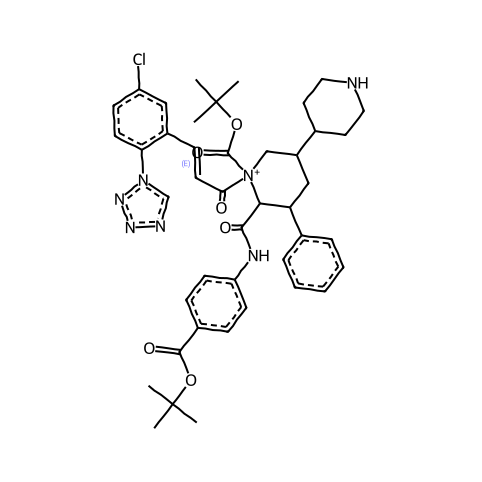 CC(C)(C)OC(=O)c1ccc(NC(=O)C2C(c3ccccc3)CC(C3CCNCC3)C[N+]2(C(=O)/C=C/c2cc(Cl)ccc2-n2cnnn2)C(=O)OC(C)(C)C)cc1